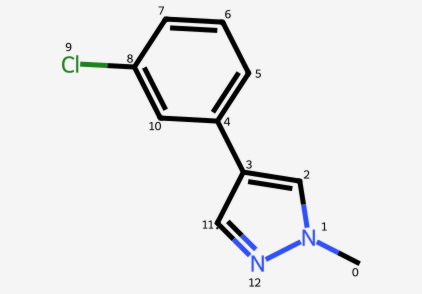 Cn1cc(-c2cccc(Cl)c2)[c]n1